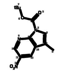 Cc1cn(C(=O)OC(C)(C)C)c2ncc([N+](=O)[O-])cc12